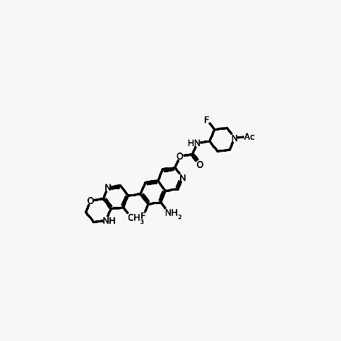 CC(=O)N1CCC(NC(=O)Oc2cc3cc(-c4cnc5c(c4C)NCCO5)c(F)c(N)c3cn2)C(F)C1